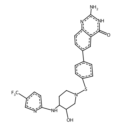 Nc1nc2ccc(-c3ccc(SN4CCC(Nc5ccc(C(F)(F)F)cn5)C(O)C4)cc3)cc2c(=O)[nH]1